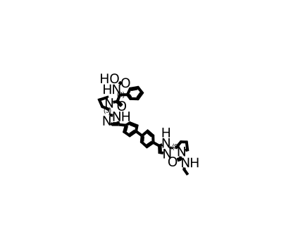 CCNC(=O)N1CCC[C@H]1c1ncc(-c2ccc(-c3ccc(-c4cnc([C@@H]5CCCN5C(=O)[C@H](NC(=O)O)c5ccccc5)[nH]4)cc3)cc2)[nH]1